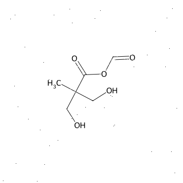 CC(CO)(CO)C(=O)OC=O